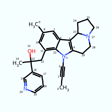 CC#Cn1c2c(c3cc(C)cc(CC(C)(O)c4cccnc4)c31)C1CCCN1CC2